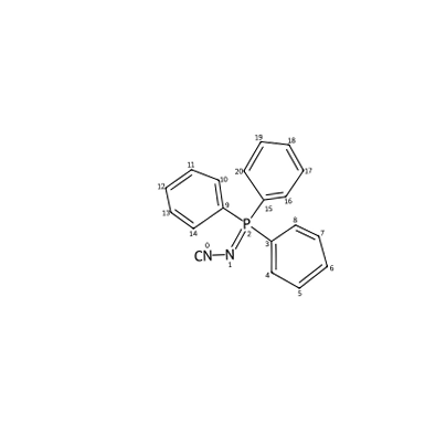 [C-]#[N+]N=P(c1ccccc1)(c1ccccc1)c1ccccc1